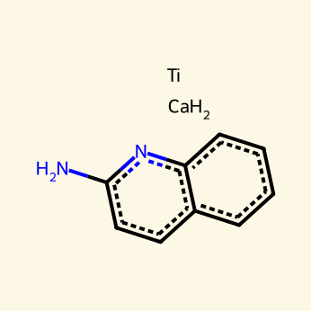 Nc1ccc2ccccc2n1.[CaH2].[Ti]